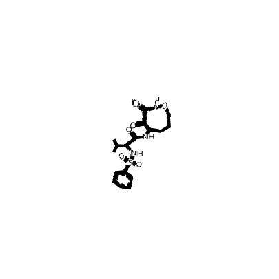 CC(C)C(NS(=O)(=O)c1ccccc1)C(=O)NC1CCCONC(=O)C1=O